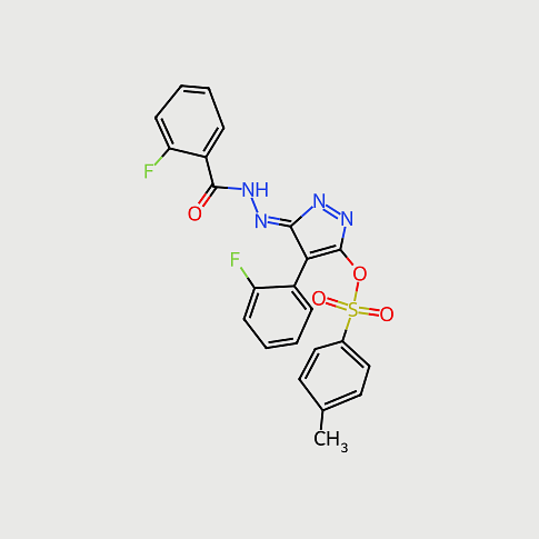 Cc1ccc(S(=O)(=O)OC2=C(c3ccccc3F)C(=NNC(=O)c3ccccc3F)N=N2)cc1